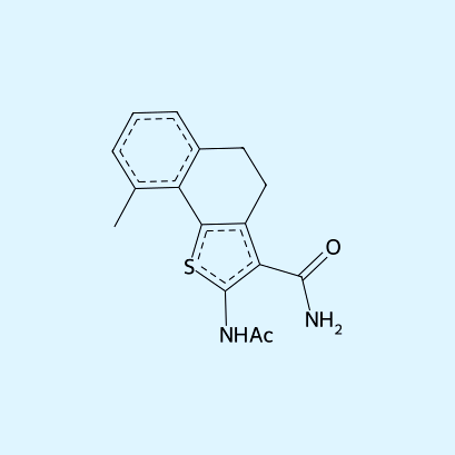 CC(=O)Nc1sc2c(c1C(N)=O)CCc1cccc(C)c1-2